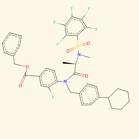 C[C@H](C(=O)N(Cc1ccc(C2CCCCC2)cc1)c1ccc(C(=O)OCc2ccccc2)cc1F)N(C)S(=O)(=O)c1c(F)c(F)c(F)c(F)c1F